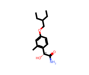 CCC(CC)COc1ccc([C@@H](O)C(N)=O)c(C)c1